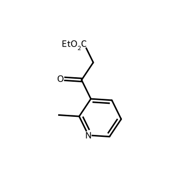 CCOC(=O)CC(=O)c1cccnc1C